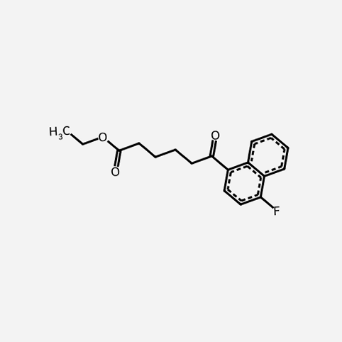 CCOC(=O)CCCCC(=O)c1ccc(F)c2ccccc12